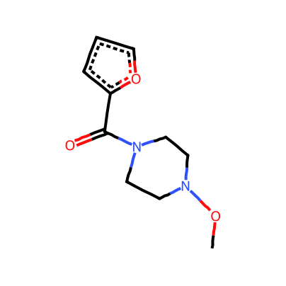 CON1CCN(C(=O)c2ccco2)CC1